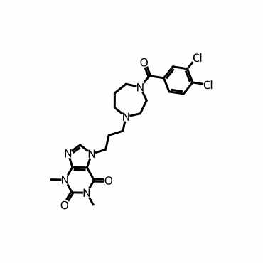 Cn1c(=O)c2c(ncn2CCCN2CCCN(C(=O)c3ccc(Cl)c(Cl)c3)CC2)n(C)c1=O